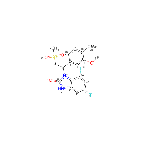 CCOc1cc(C(CS(C)(=O)=O)n2c(=O)[nH]c3cc(F)cc(F)c32)ccc1OC